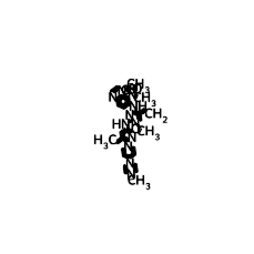 C=Cc1cnc(Nc2cc(CC)c(N3CCC(N4CCN(C)CC4)CC3)nc2OC)nc1Nc1ccc2nccnc2c1N(C)S(C)(=O)=O